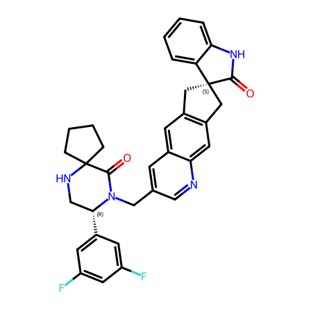 O=C1N(Cc2cnc3cc4c(cc3c2)C[C@@]2(C4)C(=O)Nc3ccccc32)[C@H](c2cc(F)cc(F)c2)CNC12CCCC2